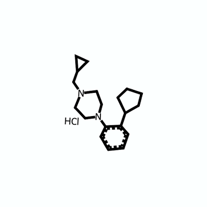 Cl.c1ccc(N2CCN(CC3CC3)CC2)c(C2CCCC2)c1